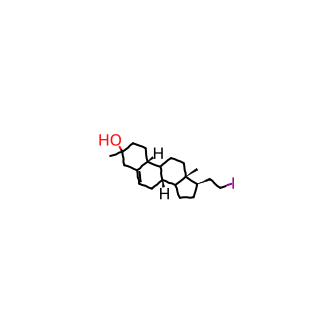 CC1(O)CC[C@H]2C(=CC[C@@H]3C2CC[C@@]2(C)C3CC[C@@H]2CCI)C1